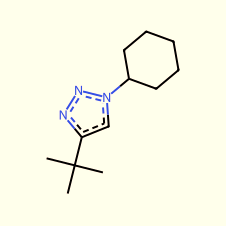 CC(C)(C)c1cn(C2CCCCC2)nn1